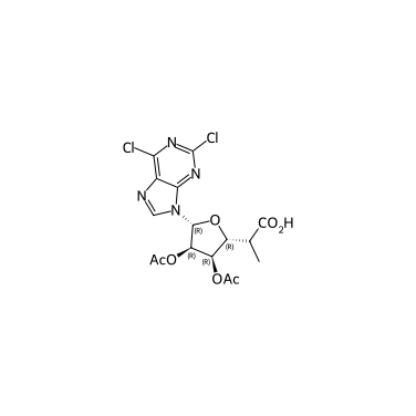 CC(=O)O[C@@H]1[C@H](OC(C)=O)[C@@H](C(C)C(=O)O)O[C@H]1n1cnc2c(Cl)nc(Cl)nc21